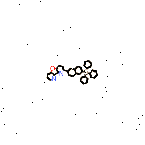 c1ccc([Si](c2ccccc2)(c2ccccc2)c2ccc3cc(-c4ccc5oc6cccnc6c5n4)ccc3c2)cc1